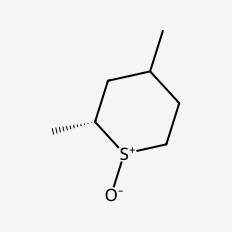 CC1CC[S+]([O-])[C@H](C)C1